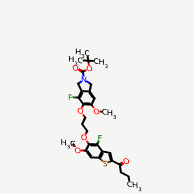 CCCC(=O)c1cc2c(F)c(OCCCOc3c(OC)cc4c(c3F)CN(C(=O)OC(C)(C)C)C4)c(OC)cc2s1